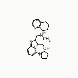 CN(CC1N=C2C=CC=C(N3CCCC3)N2C1CO)[C@H]1CCCc2cccnc21